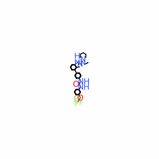 CCN(N1CCCCC1)N1Cc2c(cccc2-c2ccc(NC(=O)Nc3cccc(OC(F)(F)F)c3)cc2)N1